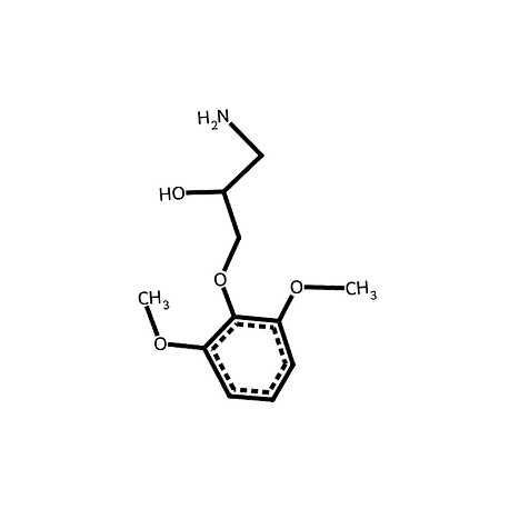 COc1cccc(OC)c1OCC(O)CN